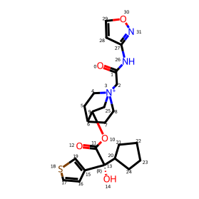 O=C(C[N+]12CCC(CC1)C(OC(=O)[C@](O)(c1ccsc1)C1CCCC1)C2)Nc1ccon1